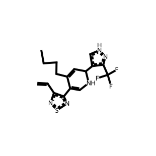 C=Cc1nsnc1C1=CNC(c2c[nH]nc2C(F)(F)F)C=C1CCCC